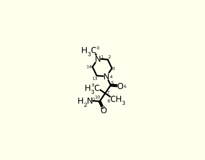 CN1CCN(C(=O)C(C)(C)C(N)=O)CC1